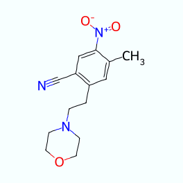 Cc1cc(CCN2CCOCC2)c(C#N)cc1[N+](=O)[O-]